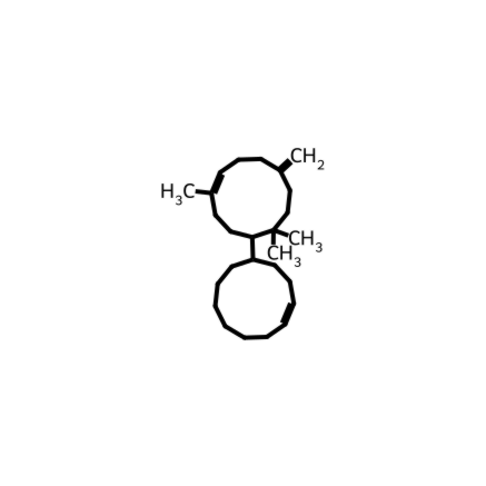 C=C1CCC=C(C)CCC(C2CCC=CCCCCCC2)C(C)(C)CC1